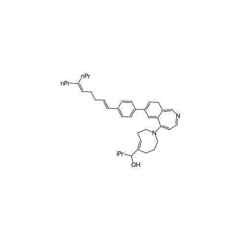 CCCC(=CCC/C=C/c1ccc(C2=CCC3=CN=CC=C(N4CC/C=C(\C(O)C(C)C)CCC4)C3=C2)cc1)CCC